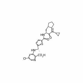 C[C@H](Nc1cc(Cl)cnc1C(=O)O)c1ccc(C(=O)N[C@@H](CC2CCCC2)C(=O)NC2CC2)s1